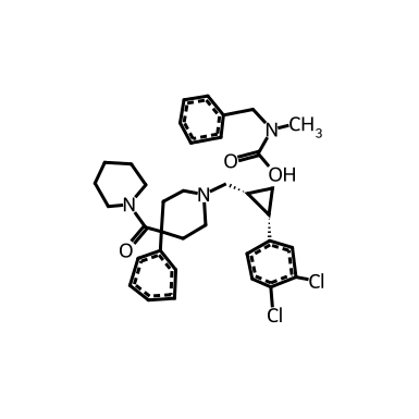 CN(Cc1ccccc1)C(=O)O.O=C(N1CCCCC1)C1(c2ccccc2)CCN(C[C@@H]2C[C@@H]2c2ccc(Cl)c(Cl)c2)CC1